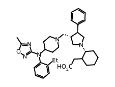 CCc1ccccc1N(c1noc(C)n1)C1CCN(C[C@H]2CN([C@@H]3CCCCC3CC(=O)O)C[C@@H]2c2ccccc2)CC1